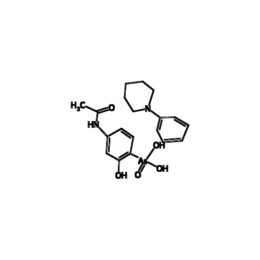 CC(=O)Nc1ccc([As](=O)(O)O)c(O)c1.c1ccc(N2CCCCC2)cc1